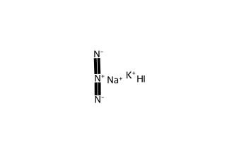 I.[K+].[N-]=[N+]=[N-].[Na+]